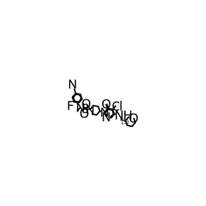 CN(c1ccc(C#N)cc1F)S(=O)(=O)N1CCC(n2ncc(NC[C@@H]3CCCOC3)c(Cl)c2=O)CC1